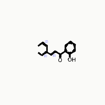 C\C=C/C(/C=C/C(=O)c1ccccc1O)=C\C